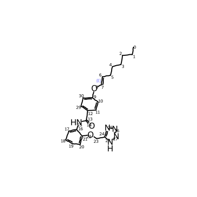 CCCCCC/C=C/Oc1ccc(C(=O)Nc2ccccc2OCc2nnn[nH]2)cc1